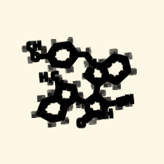 COc1ccc(Cn2cc(-c3c(C#N)[nH]c(=O)n3-c3cn(C)c4ccccc34)c3ccccc32)cc1